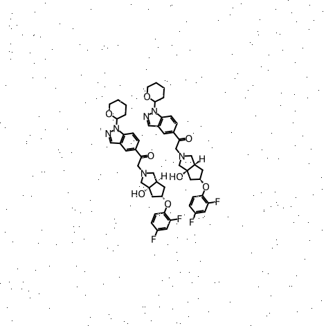 O=C(CN1C[C@@H]2C[C@@H](Oc3ccc(F)cc3F)C[C@]2(O)C1)c1ccc2c(cnn2C2CCCCO2)c1.O=C(CN1C[C@H]2C[C@H](Oc3ccc(F)cc3F)C[C@@]2(O)C1)c1ccc2c(cnn2C2CCCCO2)c1